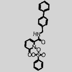 O=C(NCc1ccc(-c2ccccc2)cc1)c1cccc(=O)n1OS(=O)(=O)c1ccccc1